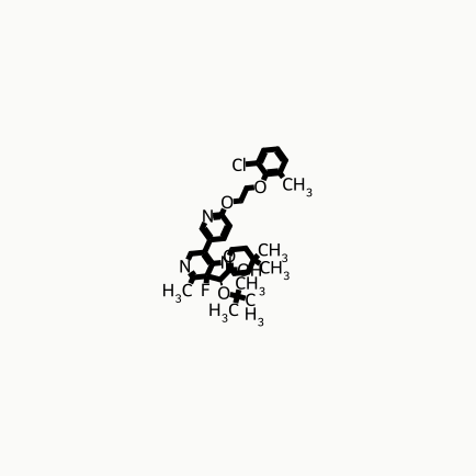 CC1=NCC(c2ccc(OCCOc3c(C)cccc3Cl)nc2)=C(N2CCC(C)(C)CC2)C1(F)[C@@H](OC(C)(C)C)C(=O)O